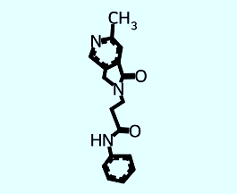 Cc1cc2c(cn1)CN(CCC(=O)Nc1ccccc1)C2=O